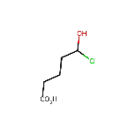 O=C(O)CCCC(O)Cl